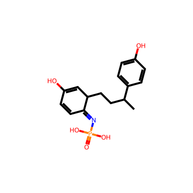 CC(CCC1C=C(O)C=CC1=NP(=O)(O)O)c1ccc(O)cc1